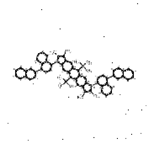 Cc1c(C)n(-c2ccc(-c3ccc4ccccc4c3)c3ccccc23)c2cc3c(C(C)(C)C)c4cc5c(C)c(C)n(-c6ccc(-c7ccc8ccccc8c7)c7ccccc67)c5cc4c(C(C)(C)C)c3cc12